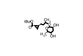 C[C@H](CC[C@H]1C[C@@H]1C(=O)OC(C)(C)C)O[C@@H]1O[C@@H](C)[C@H](O)C[C@H]1O